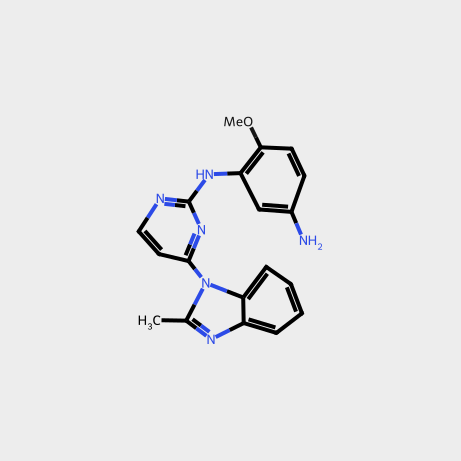 COc1ccc(N)cc1Nc1nccc(-n2c(C)nc3ccccc32)n1